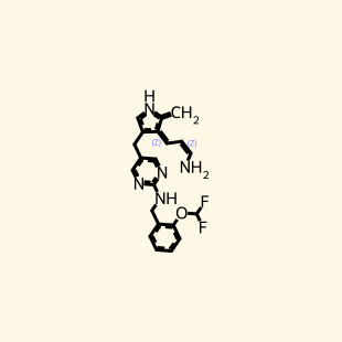 C=c1[nH]cc(Cc2cnc(NCc3ccccc3OC(F)F)nc2)/c1=C/C=C\N